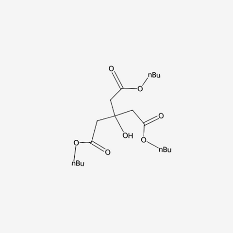 CCCCOC(=O)CC(O)(CC(=O)OCCCC)CC(=O)OCCCC